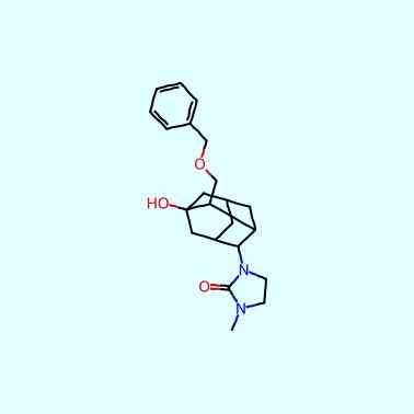 CN1CCN(C2C3CC4CC2C(COCc2ccccc2)C(O)(C4)C3)C1=O